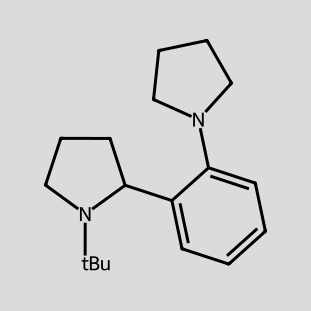 CC(C)(C)N1CCCC1c1ccccc1N1CCCC1